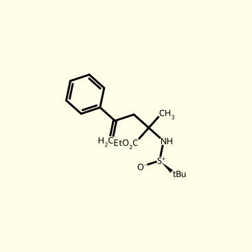 C=C(CC(C)(N[S@+]([O-])C(C)(C)C)C(=O)OCC)c1ccccc1